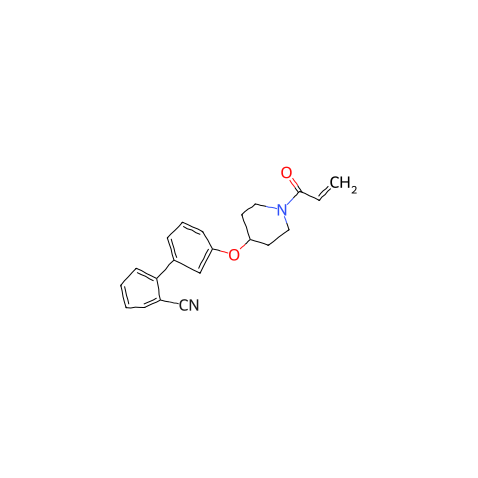 C=CC(=O)N1CCC(Oc2cccc(-c3ccccc3C#N)c2)CC1